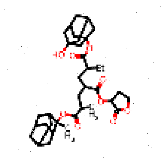 CCC(CC(CC(C)C(=O)OC1(C)C2CC3CC(C2)CC1C3)C(=O)OC1CCOC1=O)C(=O)OC12CC3CC(CC(O)(C3)C1)C2